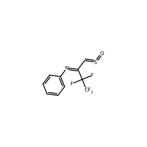 O=S=CC(=Nc1ccccc1)C(F)(F)C(F)(F)F